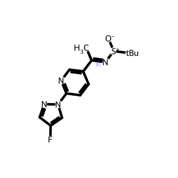 C/C(=N\[S+]([O-])C(C)(C)C)c1ccc(-n2cc(F)cn2)nc1